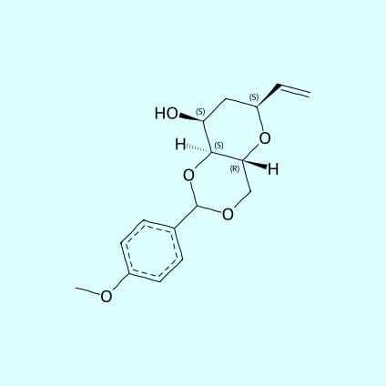 C=C[C@@H]1C[C@H](O)[C@@H]2OC(c3ccc(OC)cc3)OC[C@H]2O1